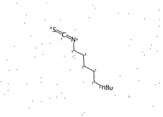 CCCCCCCCCN=C=S